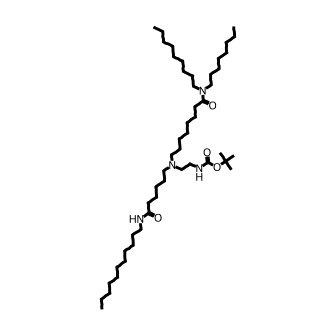 CCCCCCCCCCCNC(=O)CCCCCN(CCCCCCCC(=O)N(CCCCCCCC)CCCCCCCCC)CCNC(=O)OC(C)(C)C